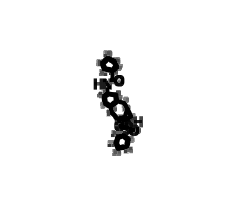 O=C(Nc1ccc2c(c1)CC1CCC(C2)C1NS(=O)(=O)c1ccccc1)c1ccccc1